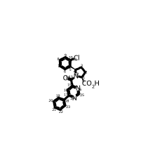 O=C(O)[C@@H]1CC[C@H](c2ccccc2Cl)N1C(=O)c1cc(-c2ccccc2)ncn1